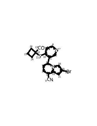 N#Cc1ccc(-c2cnccc2SC2(C(=O)O)CCC2)n2cc(Br)cc12